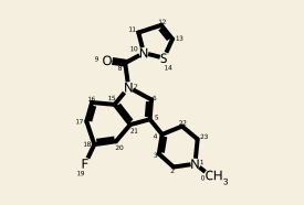 CN1CC=C(c2cn(C(=O)N3CC=CS3)c3ccc(F)cc23)CC1